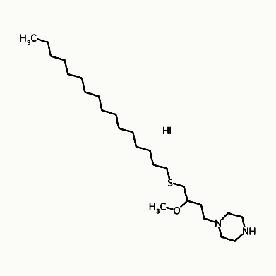 CCCCCCCCCCCCCCCCSCC(CCN1CCNCC1)OC.I